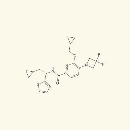 O=C(N[C@@H](CC1CC1)c1nccs1)c1ccc(N2CC(F)(F)C2)c(OCC2CC2)n1